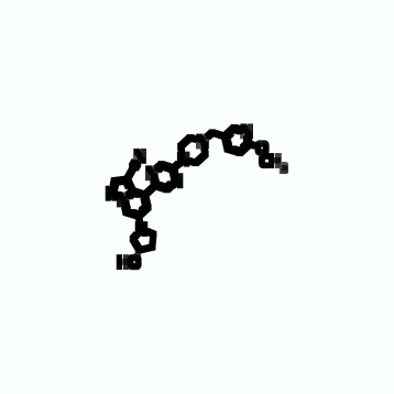 COc1ccc(CN2CCN(c3cnc(-c4cc(N5CC[C@H](O)C5)cn5ncc(C#N)c45)cn3)CC2)cn1